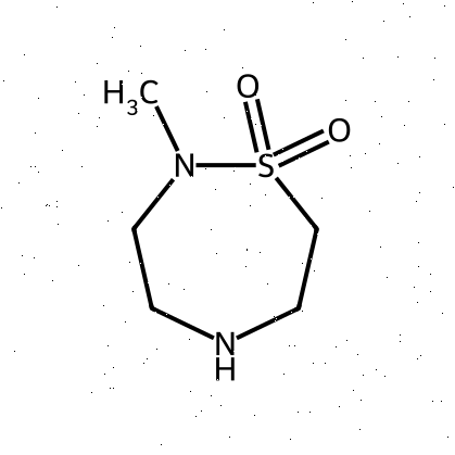 CN1CCNCCS1(=O)=O